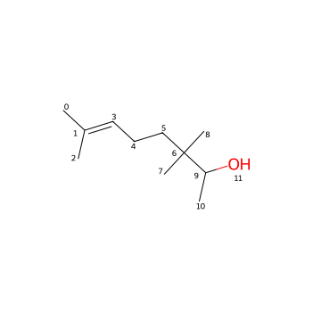 CC(C)=CCCC(C)(C)C(C)O